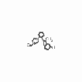 CC(Nc1ccccc1N1CCN(C=O)CC1)c1cccc(Cl)c1